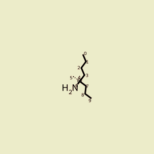 CCCC[C@](C)(N)CCC